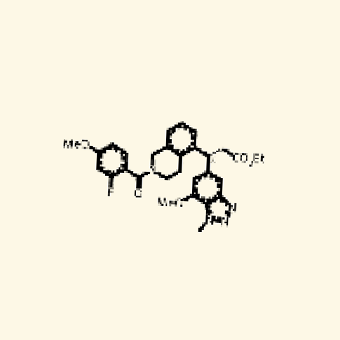 CCOC(=O)C[C@H](c1cc(OC)c2c(c1)nnn2C)c1cccc2c1CCN(C(=O)c1ccc(OC)cc1F)C2